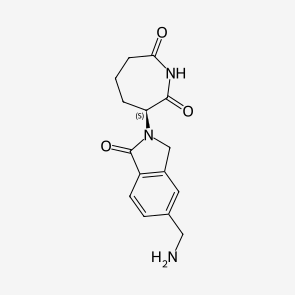 NCc1ccc2c(c1)CN([C@H]1CCCC(=O)NC1=O)C2=O